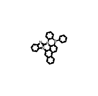 c1ccc(B2c3ccccc3-n3c4c2ccc2c5ccccc5cc(c24)n2c4ccccc4nc32)cc1